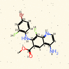 COC(=O)c1cc2c(N)ccnc2c(F)c1Nc1ccc(Br)cc1F